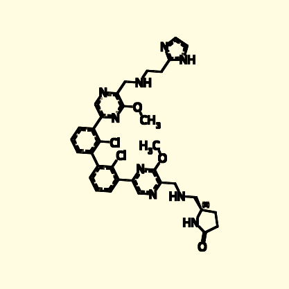 COc1nc(-c2cccc(-c3cccc(-c4cnc(CNC[C@H]5CCC(=O)N5)c(OC)n4)c3Cl)c2Cl)cnc1CNCCc1ncc[nH]1